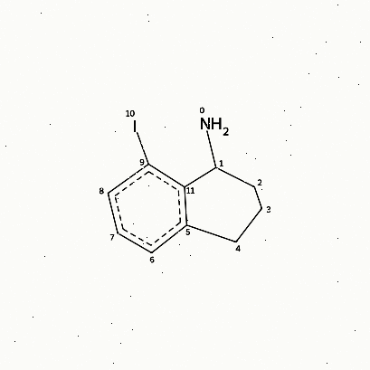 NC1CCCc2cccc(I)c21